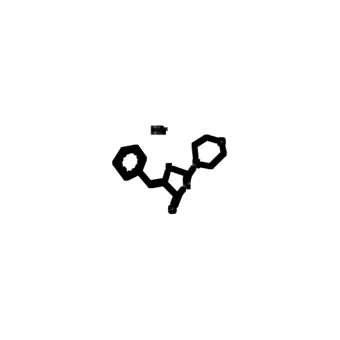 Br.O=C1N=C(N2CCOCC2)SC1=Cc1ccccc1